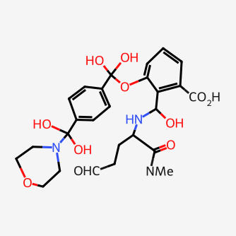 CNC(=O)C(CCC=O)NC(O)c1c(OC(O)(O)c2ccc(C(O)(O)N3CCOCC3)cc2)cccc1C(=O)O